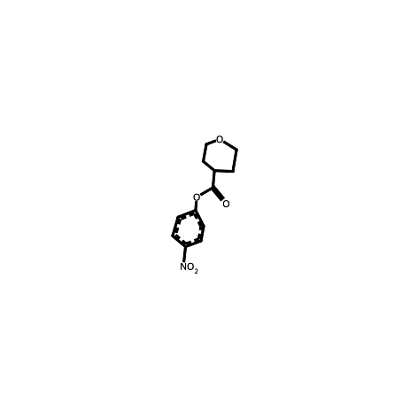 O=C(Oc1ccc([N+](=O)[O-])cc1)C1CCOCC1